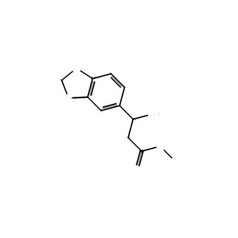 CC(C)OC(=O)CC(O)c1ccc2c(c1)OCO2